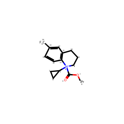 CC(C)OC(=O)[N+]1(C2CC2)CCCc2cc(C(F)(F)F)ccc21